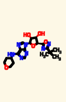 CC(C)(C)c1noc([C@H]2O[C@@H](n3cnc4c(NC5CCOCC5)ncnc43)[C@H](O)[C@@H]2O)n1